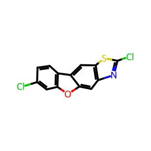 Clc1ccc2c(c1)oc1cc3nc(Cl)sc3cc12